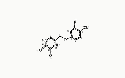 N#Cc1ccc(SCc2c[nH]c(=O)c(=O)[nH]2)cc1F